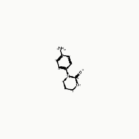 Nc1ccc(N2CCCOC2=O)cc1